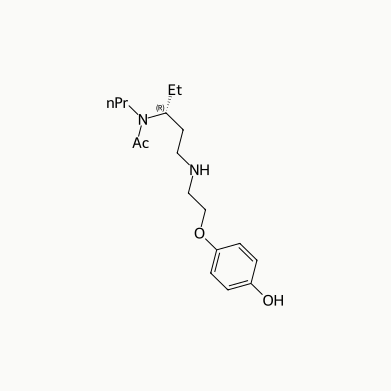 CCCN(C(C)=O)[C@H](CC)CCNCCOc1ccc(O)cc1